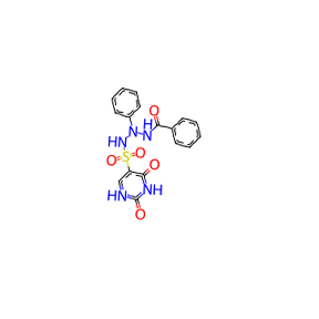 O=C(NN(NS(=O)(=O)c1c[nH]c(=O)[nH]c1=O)c1ccccc1)c1ccccc1